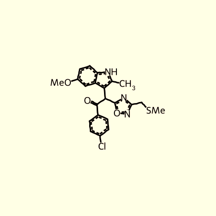 COc1ccc2[nH]c(C)c(C(C(=O)c3ccc(Cl)cc3)c3nc(CSC)no3)c2c1